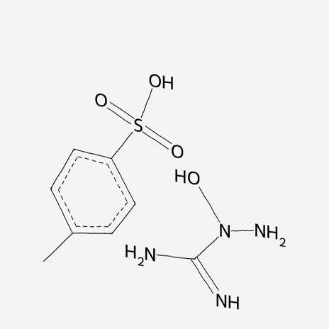 Cc1ccc(S(=O)(=O)O)cc1.N=C(N)N(N)O